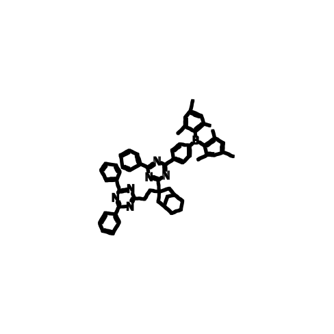 Cc1cc(C)c(B(c2ccc(-c3nc(-c4ccccc4)nc(C4(CCc5nc(-c6ccccc6)nc(-c6ccccc6)n5)CC5CCCC(C5)C4)n3)cc2)c2c(C)cc(C)cc2C)c(C)c1